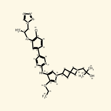 C[C@@H](Cn1cnnn1)Oc1cc(-c2cnc(Nc3cn(C4CC5(C4)CN(CC(C)(C)O)C5)nc3OCC(F)(F)F)nc2)ccc1Cl